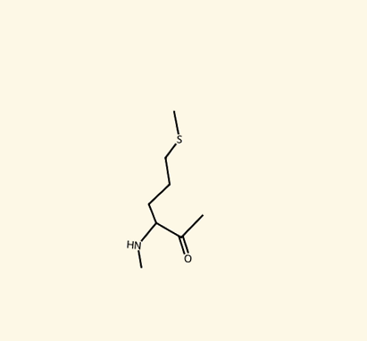 CNC(CCCSC)C(C)=O